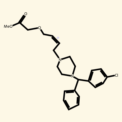 COC(=O)COC/C=C\CN1CCN(C(c2ccccc2)c2ccc(Cl)cc2)CC1